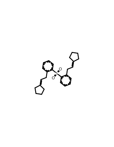 O=S(=O)(c1ccccc1CC=C1CCCC1)c1ccccc1CC=C1CCCC1